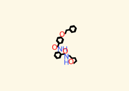 O=C(Nc1ccccc1C(=O)NCC1CCCO1)c1ccc(OCCc2ccccc2)cc1